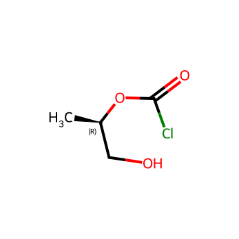 C[C@H](CO)OC(=O)Cl